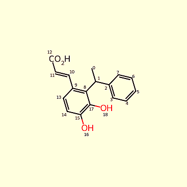 CC(c1ccccc1)c1c(C=CC(=O)O)ccc(O)c1O